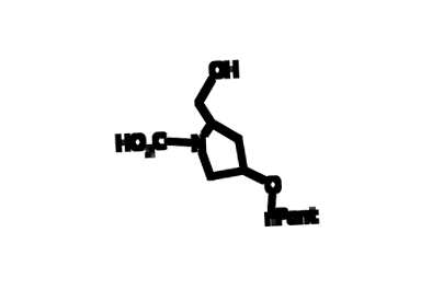 CCCCCOC1CC(CO)N(C(=O)O)C1